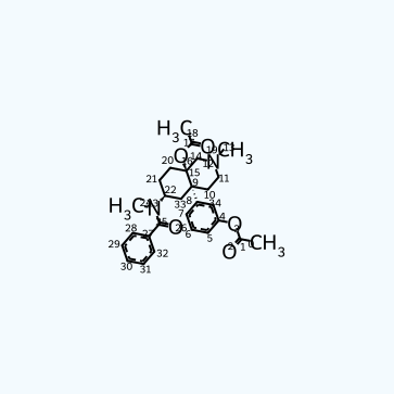 CC(=O)Oc1cccc([C@@]23CCN(C)C[C@@]2(OC(C)=O)CC[C@H](N(C)C(=O)c2ccccc2)C3)c1